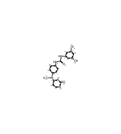 CN(c1ccc(NC(=O)Nc2cc(C#N)cc(C(F)(F)F)c2)cc1)c1ccnc(Cl)n1